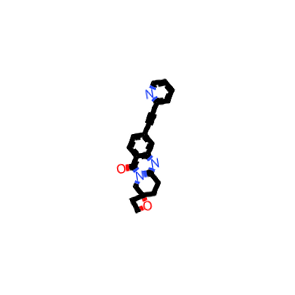 O=c1c2ccc(C#Cc3ccccn3)cc2nc2n1CC1(CCO1)CC2